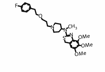 COc1cc2c(c(OC)c1OC)N=C(N(C)C1CCN(CCCOCCc3ccc(F)cc3)CC1)SC2